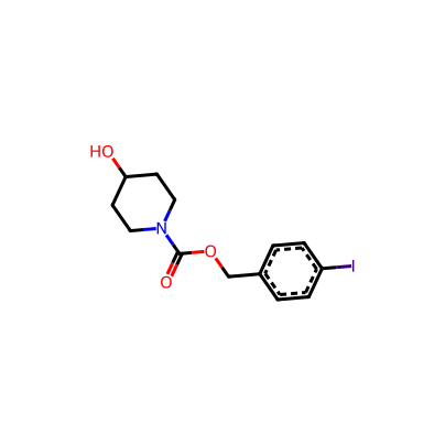 O=C(OCc1ccc(I)cc1)N1CCC(O)CC1